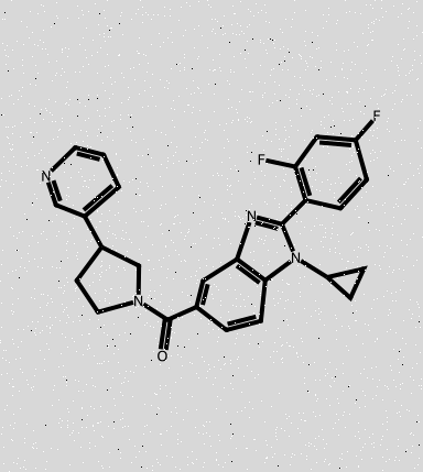 O=C(c1ccc2c(c1)nc(-c1ccc(F)cc1F)n2C1CC1)N1CCC(c2cccnc2)C1